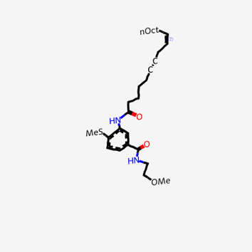 CCCCCCCC/C=C\CCCCCCCC(=O)Nc1cc(C(=O)NCCOC)ccc1SC